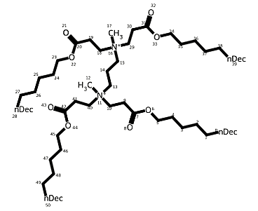 CCCCCCCCCCCCCCCOC(=O)CC[N+](C)(CCC[N+](C)(CCC(=O)OCCCCCCCCCCCCCCC)CCC(=O)OCCCCCCCCCCCCCCC)CCC(=O)OCCCCCCCCCCCCCCC